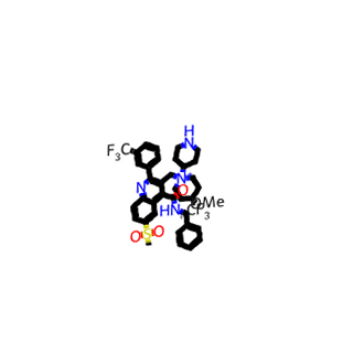 COC1CC[N+](Cc2c(-c3cccc(C(F)(F)F)c3)nc3ccc(S(C)(=O)=O)cc3c2C(=O)N[C@H](c2ccccc2)C(F)(F)F)(C2CCNCC2)CC1